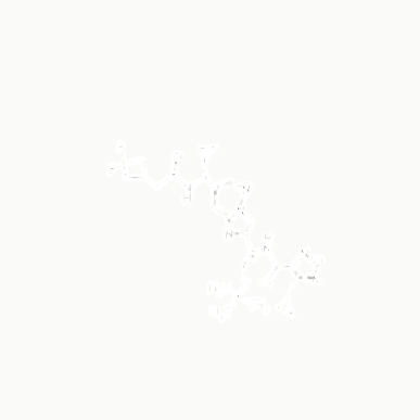 CC(C)(C)OC[C@H](NC(=O)c1nonc1C1CC1)c1cn2ncc(C(NC(=O)CC3CC(F)(F)C3)C3CC3)cc2n1